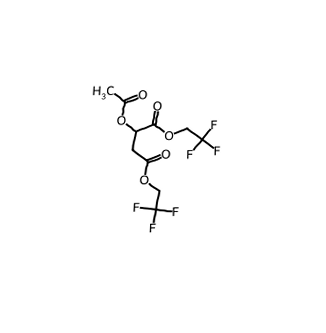 CC(=O)OC(CC(=O)OCC(F)(F)F)C(=O)OCC(F)(F)F